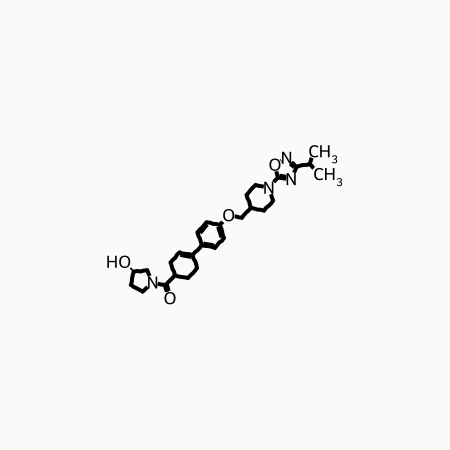 CC(C)c1noc(N2CCC(COc3ccc(C4=CCC(C(=O)N5CC[C@H](O)C5)CC4)cc3)CC2)n1